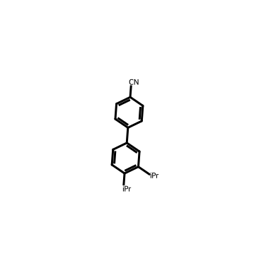 CC(C)c1ccc(-c2ccc(C#N)cc2)cc1C(C)C